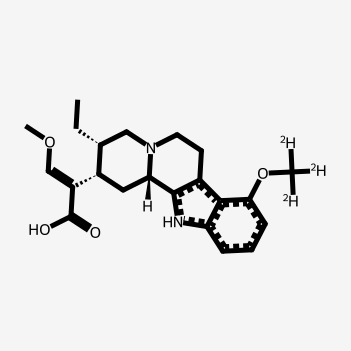 [2H]C([2H])([2H])Oc1cccc2[nH]c3c(c12)CCN1C[C@@H](CC)[C@@H](/C(=C\OC)C(=O)O)C[C@@H]31